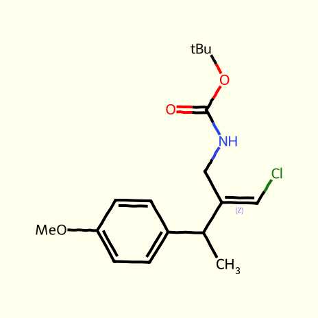 COc1ccc(C(C)/C(=C/Cl)CNC(=O)OC(C)(C)C)cc1